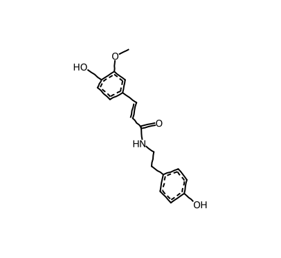 COc1cc(C=CC(=O)NCCc2ccc(O)cc2)ccc1O